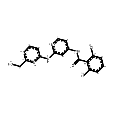 O=C(Nc1ccnc(Nc2ccnc(CO)n2)c1)c1c(Cl)cccc1Cl